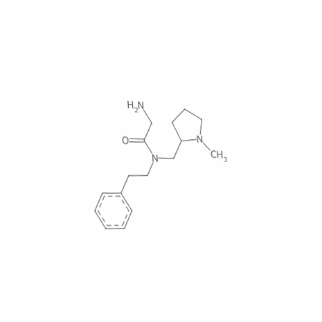 CN1CCCC1CN(CCc1ccccc1)C(=O)CN